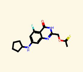 CC(=S)OCc1nc2cc(NC3CCCC3)cc(F)c2c(=O)[nH]1